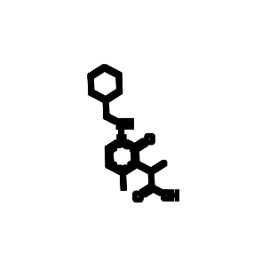 Cc1ccn(NCC2CCCCC2)c(=O)c1C(C)C(=O)O